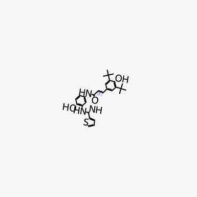 CC(C)(C)c1cc(/C=C/C(=O)Nc2ccc(O)c(NC(=N)c3cccs3)c2)cc(C(C)(C)C)c1O